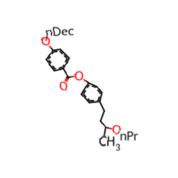 CCCCCCCCCCOc1ccc(C(=O)Oc2ccc(CCC(C)OCCC)cc2)cc1